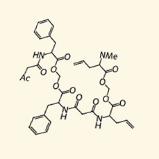 C=CCC(NC)C(=O)OCOC(=O)C(CC=C)NC(=O)CC(=O)NC(Cc1ccccc1)C(=O)OCOC(=O)C(Cc1ccccc1)NC(=O)CC(C)=O